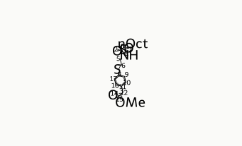 CCCCCCCCS(=O)(=O)NCCSc1ccc(CC(=O)OC)cc1